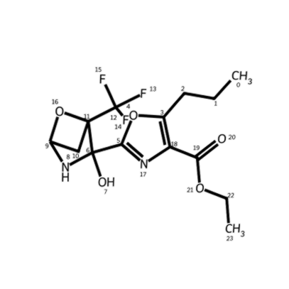 CCCc1oc(C2(O)NC3CC2(C(F)(F)F)O3)nc1C(=O)OCC